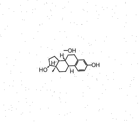 CO.C[C@]12CC[C@@H]3c4ccc(O)cc4CC[C@H]3[C@@H]1CC[C@@H]2O